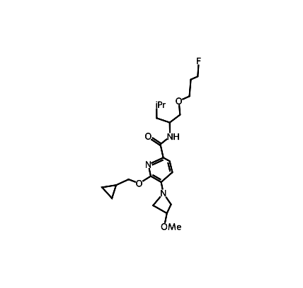 COC1CN(c2ccc(C(=O)NC(COCCCF)CC(C)C)nc2OCC2CC2)C1